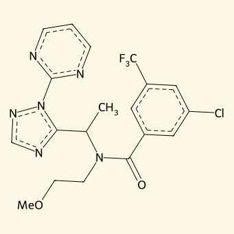 COCCN(C(=O)c1cc(Cl)cc(C(F)(F)F)c1)C(C)c1ncnn1-c1ncccn1